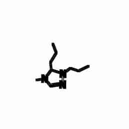 CCCC1N(C)C=NN1CCC